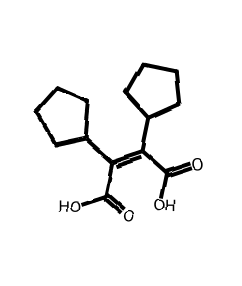 O=C(O)/C(=C(\C(=O)O)C1CCCC1)C1CCCC1